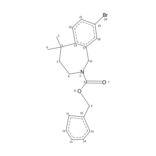 CC1(C)CCN(C(=O)OCc2ccccc2)Cc2cc(Br)ccc21